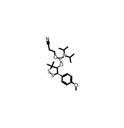 COc1ccc([C@H]2SSC(C)(C)[C@H]2OP(OCCC#N)N(C(C)C)C(C)C)cc1